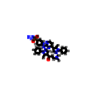 Cc1c(-c2ccnc(Nc3ccc(S(N)(=O)=O)cc3)n2)cnn1-c1ccccc1.Cc1c(C(=O)C=CN(C)C)cnn1-c1ccccc1